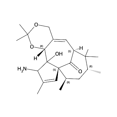 CC1=C[C@]23C(=O)[C@@H](C=C4COC(C)(C)O[C@H]4C2(O)C1N)C(C)(C)[C@H](C)C[C@H]3C